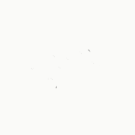 COc1cnc(N2CCN(C(=O)[C@H]3CCCN3C)CC2)nc1N[C@H](C)c1ccc(Cl)cc1Cl